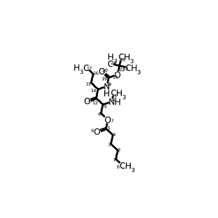 CCCCCC(=O)OCC(NC)C(=O)C(CCC)NC(=O)OC(C)(C)C